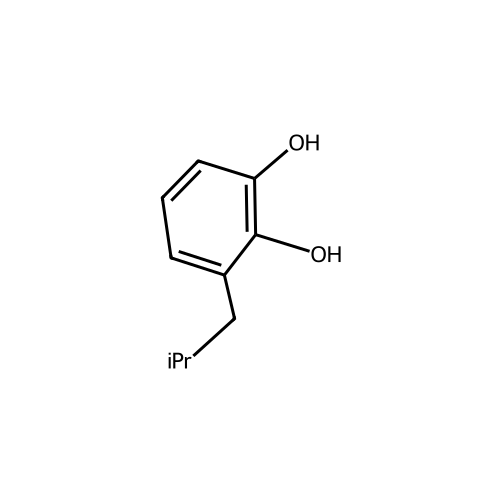 CC(C)Cc1cccc(O)c1O